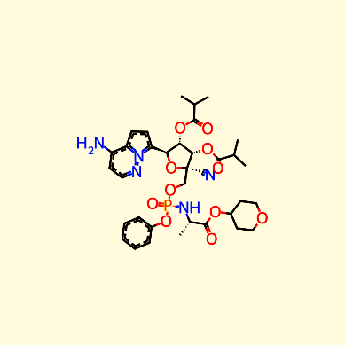 CC(C)C(=O)O[C@H]1[C@H](c2ccc3c(N)ccnn23)O[C@](C#N)(CO[P@](=O)(N[C@@H](C)C(=O)OC2CCOCC2)Oc2ccccc2)[C@H]1OC(=O)C(C)C